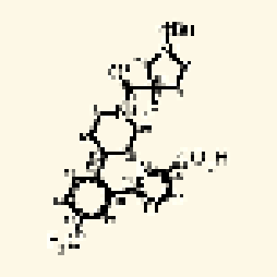 CC(C)(C)N1CC[C@](F)(C(=O)N2CCC(c3ccc(C(F)(F)F)cc3-c3nc(C(=O)O)co3)CC2)C1